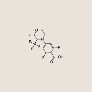 C[C@H]1OCCN(c2cc(F)c(C(=O)O)c(F)c2)[C@H]1C(F)(F)F